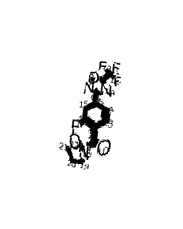 O=C(c1ccc(-c2noc(C(F)(F)F)n2)cc1F)N1CCCO1